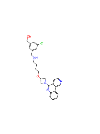 OCc1cc(Cl)cc(CNCCCCOC2CN(c3nc4ccccc4c4cnccc34)C2)c1